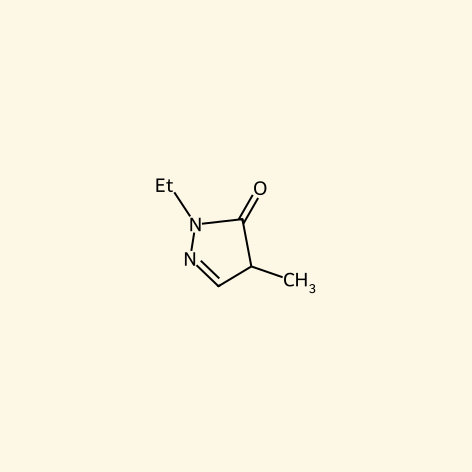 CCN1N=CC(C)C1=O